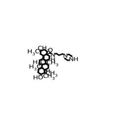 CC1(C)CC[C@]2(C(=O)NCCCN3CCNCC3)CC[C@]3(C)C(=C2C1)CCC1[C@@]2(C)CC[C@H](O)C(C)(C)[C@@H]2CC[C@]13C